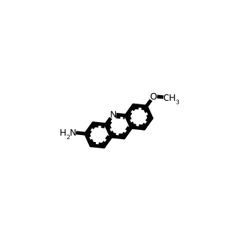 COc1ccc2cc3ccc(N)cc3nc2c1